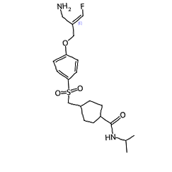 CC(C)NC(=O)C1CCC(CS(=O)(=O)c2ccc(OC/C(=C/F)CN)cc2)CC1